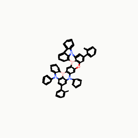 Cc1ccccc1-c1cc2c3c(c1)N(c1ccccc1)c1cc4c(cc1B3c1ccccc1N2c1ccccc1)B1c2c(cc(-c3ccccc3C)cc2-n2c3ccccc3c3cccc1c32)O4